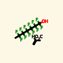 C=C(C)C(=O)O.CC(F)(F)C(F)(F)C(F)(F)C(F)(F)C(F)(F)C(O)(F)F